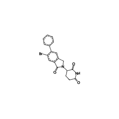 O=C1CCC(N2Cc3cc(-c4ccccc4)c(Br)cc3C2=O)C(=O)N1